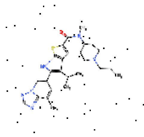 CCCN1CCC(N(C)C(=O)c2cc3c(C(C)C)c(-c4cc(C)c5ncnn5c4)[nH]c3s2)CC1